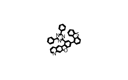 C1=c2cccnc2=CC2Oc3cc(-c4cccc5sc6ccccc6c45)cc(-c4nc(-c5ccccc5)nc(-c5ccccc5)n4)c3C12